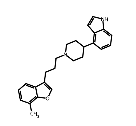 Cc1cccc2c(CCCN3CCC(c4cccc5[nH]ccc45)CC3)coc12